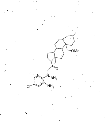 COCC12CCC(C)CC1CCC1C3CCC(C(=O)CN(N)c4ncc(Cl)cc4N)C3(C)CCC12